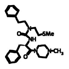 CSCCN(CCc1ccccc1)C(=O)N[C@@H](Cc1ccccc1)C(=O)N1CCN(C)CC1